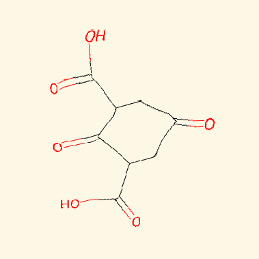 O=C1CC(C(=O)O)C(=O)C(C(=O)O)C1